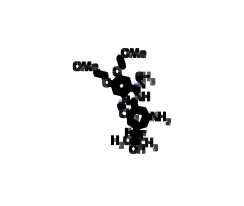 C/C=N/c1cc(OCCOC)c(OCCOC)cc1/C(=N\C)NCC1=CC(N)=CC(C(F)(F)C(C)(C)O)=CC1